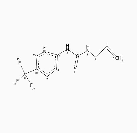 C=CCNC(=S)Nc1ccc(C(F)(F)F)cn1